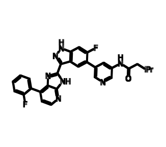 CC(C)CC(=O)Nc1cncc(-c2cc3c(-c4nc5c(-c6ccccc6F)ccnc5[nH]4)n[nH]c3cc2F)c1